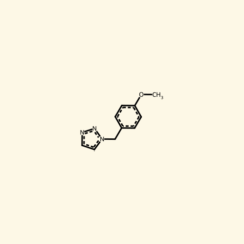 COc1ccc(Cn2[c]cnn2)cc1